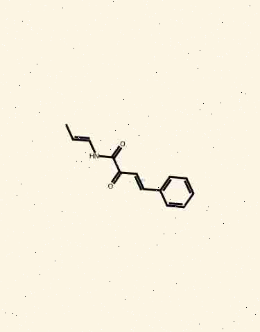 CC=CNC(=O)C(=O)/C=C/c1ccccc1